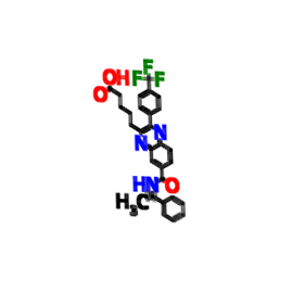 C[C@H](NC(=O)c1ccc2nc(-c3ccc(C(F)(F)F)cc3)c(CCCCC(=O)O)nc2c1)c1ccccc1